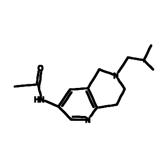 C[C](C)CN1CCc2ncc(NC(C)=O)cc2C1